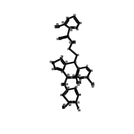 O=C(NCCC(c1ccc(Cl)cc1)c1nonc1C(=NO)Nc1ccc(F)c(Br)c1)c1ccccc1O